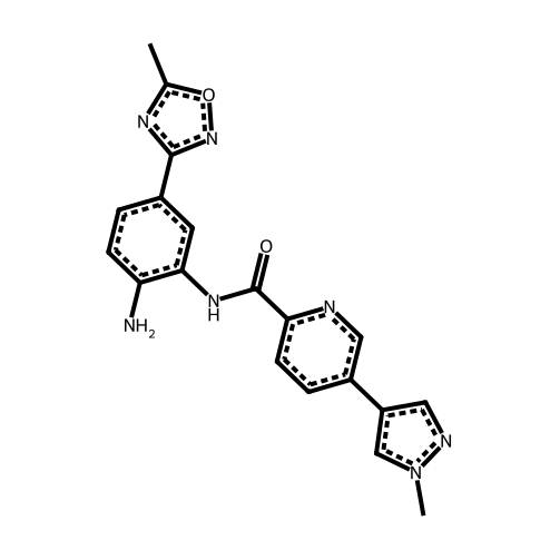 Cc1nc(-c2ccc(N)c(NC(=O)c3ccc(-c4cnn(C)c4)cn3)c2)no1